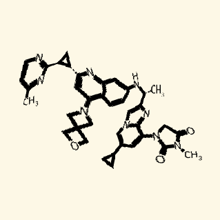 Cc1ccnc([C@H]2C[C@@H]2c2cc(N3CC4(COC4)C3)c3ccc(N[C@H](C)c4cn5cc(C6CC6)cc(N6CC(=O)N(C)C6=O)c5n4)cc3n2)n1